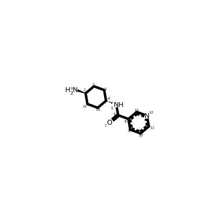 N[C@H]1CC[C@H](NC(=O)c2cccnc2)CC1